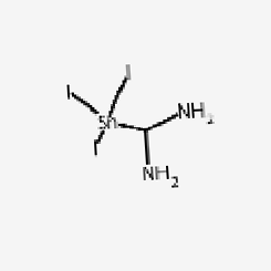 N[CH](N)[Sn]([I])([I])[I]